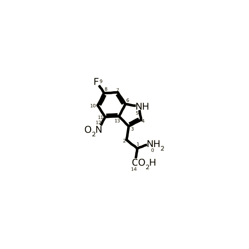 NC(Cc1c[nH]c2cc(F)cc([N+](=O)[O-])c12)C(=O)O